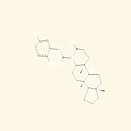 C[C@@]12CCC[C@H]1[C@@H]1CC[C@H]3N(C(=O)Nc4cc(Br)ccc4C(F)(F)F)C(=O)C=C[C@]3(C)[C@H]1CC2